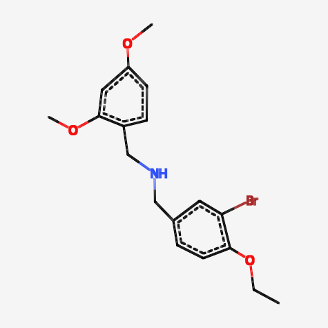 CCOc1ccc(CNCc2ccc(OC)cc2OC)cc1Br